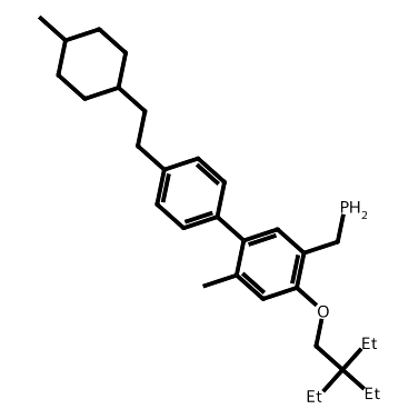 CCC(CC)(CC)COc1cc(C)c(-c2ccc(CCC3CCC(C)CC3)cc2)cc1CP